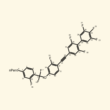 CCCCCc1ccc(C(F)(F)Oc2ccc(C#Cc3cc(F)c(-c4cc(F)c(F)c(F)c4)c(F)c3)c(F)c2)c(F)c1